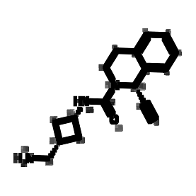 C#C[C@H]1c2ccccc2CCN1C(=O)N[C@H]1C[C@@H](CN)C1